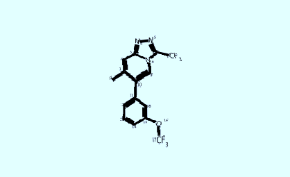 Cc1cc2nnc(C(F)(F)F)n2cc1-c1cccc(OC(F)(F)F)c1